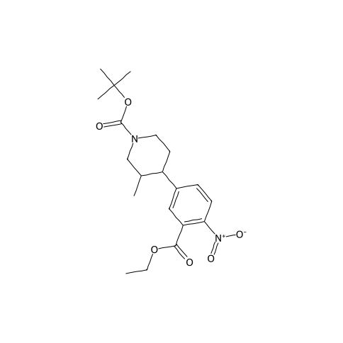 CCOC(=O)c1cc(C2CCN(C(=O)OC(C)(C)C)CC2C)ccc1[N+](=O)[O-]